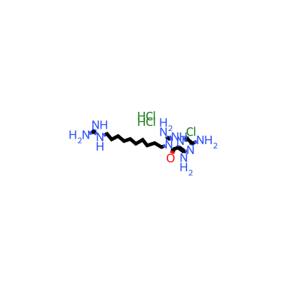 Cl.Cl.N=C(N)NCCCCCCCCCCN(C(=N)N)C(=O)c1nc(Cl)c(N)nc1N